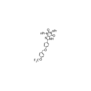 CCCn1c(=O)c2[nH]c(-c3ccc(OCc4ccc(OC(F)(F)F)cc4)cc3)nc2n(CCC)c1=O